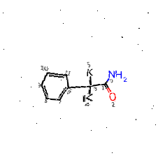 NC(=O)[C]([K])([K])c1ccccc1